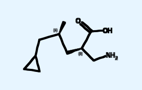 C[C@H](CC1CC1)C[C@H](CN)C(=O)O